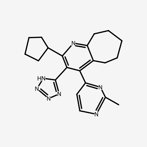 Cc1nccc(-c2c3c(nc(C4CCCC4)c2-c2nnn[nH]2)CCCCC3)n1